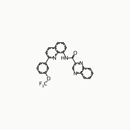 O=C(Nc1cccc2ccc(-c3cccc(OC(F)(F)F)c3)nc12)c1cnc2ccccc2n1